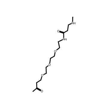 CNCCC(=O)NCCOCCOCCOCCC(C)=O